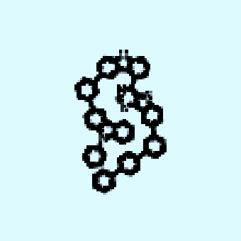 c1ccc(-c2ccc(-c3cccc(-c4ccc5sc6c(-c7cccc8oc9ccc(-c%10cccc(-c%11ccc%12c(c%11)c%11ccccc%11n%12-c%11ccccc%11)c%10)cc9c78)ncnc6c5c4)c3)cc2)cc1